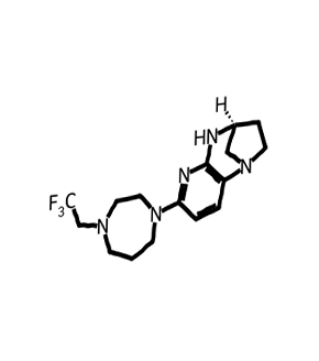 FC(F)(F)CN1CCCN(c2ccc3c(n2)N[C@H]2CCN3C2)CC1